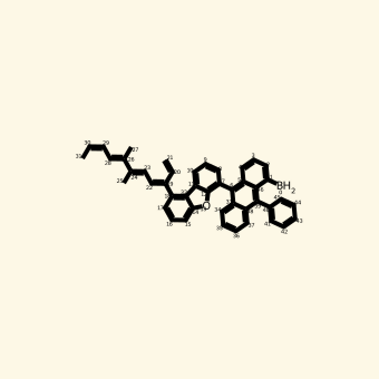 Bc1cccc2c(-c3cccc4c3oc3cccc(/C(C=C)=C/C=C(C)/C(C)=C/C=C\C)c34)c3ccccc3c(-c3ccccc3)c12